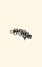 CN(C(=O)c1cc(NC(=O)C2CC2(Cl)Cl)ccc1Cl)c1ccc(F)c(NC(=O)C2CCCO2)c1F